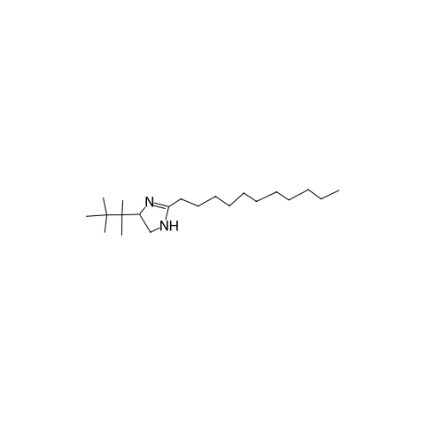 CCCCCCCCCCCC1=NC(C(C)(C)C(C)(C)C)CN1